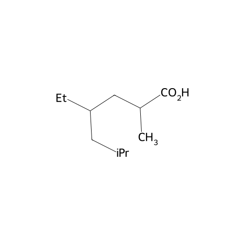 CCC(CC(C)C)CC(C)C(=O)O